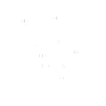 C=C(C)C(=O)OC(C)(C(C)C)[Si]1(C)CCCCO1